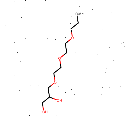 COCCOCCOCCOCC(O)CO